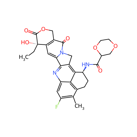 CC[C@@]1(O)C(=O)OCc2c1cc1n(c2=O)Cc2c-1nc1cc(F)c(C)c3c1c2[C@@H](NC(=O)C1COCCO1)CC3